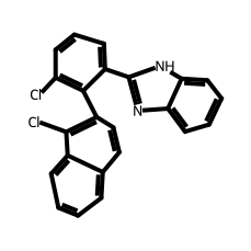 Clc1cccc(-c2nc3ccccc3[nH]2)c1-c1ccc2ccccc2c1Cl